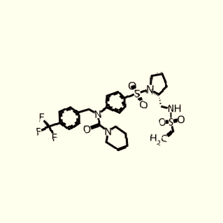 C=CS(=O)(=O)NC[C@H]1CCCN1S(=O)(=O)c1ccc(N(Cc2ccc(C(F)(F)F)cc2)C(=O)N2CCCCC2)cc1